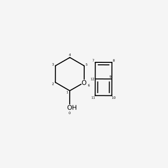 OC1CCCCO1.c1cc2ccc1-2